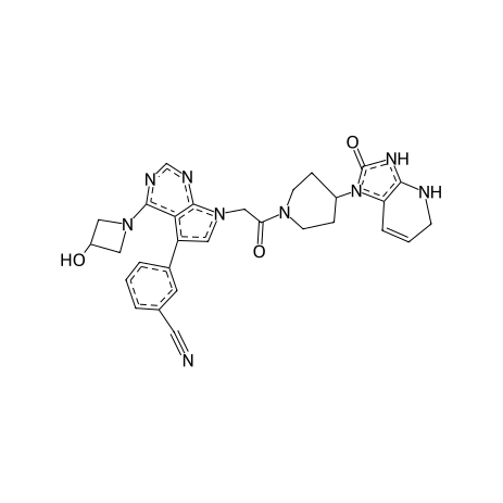 N#Cc1cccc(-c2cn(CC(=O)N3CCC(n4c5c([nH]c4=O)NCC=C5)CC3)c3ncnc(N4CC(O)C4)c23)c1